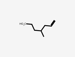 C=CCC(C)CCC(=O)O